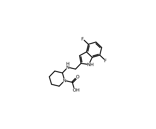 O=C(O)N1CCCCC1NCc1cc2c(F)ccc(F)c2[nH]1